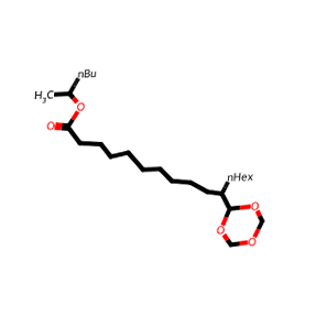 CCCCCCC(CCCCCCCCCC(=O)OC(C)CCCC)C1OCOCO1